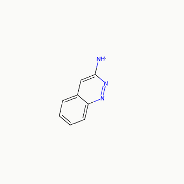 [NH]c1cc2ccccc2nn1